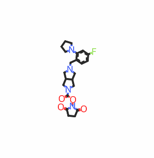 O=C(ON1C(=O)CCC1=O)N1CC2CN(Cc3ccc(F)cc3N3CCCC3)CC2C1